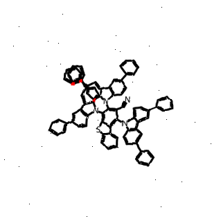 N#Cc1c(-n2c3ccc(-c4ccccc4)cc3c3cc(-c4ccccc4)ccc32)c(-n2c3ccc(-c4ccccc4)cc3c3cc(-c4ccccc4)ccc32)c2sc3ccccc3c2c1-n1c2ccc(-c3ccccc3)cc2c2cc(-c3ccccc3)ccc21